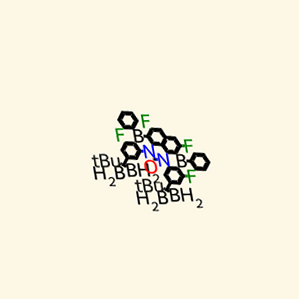 BC(B)(c1cc(F)c2c(c1)N1C(=O)N3c4cc(C(B)(B)C(C)(C)C)cc(F)c4B(c4ccccc4)c4c(F)cc5cc(F)c(c1c5c43)B2c1ccccc1)C(C)(C)C